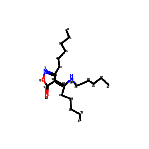 CCCCCCC1=NOC(=O)C1=C(CCCCC)NCCCCC